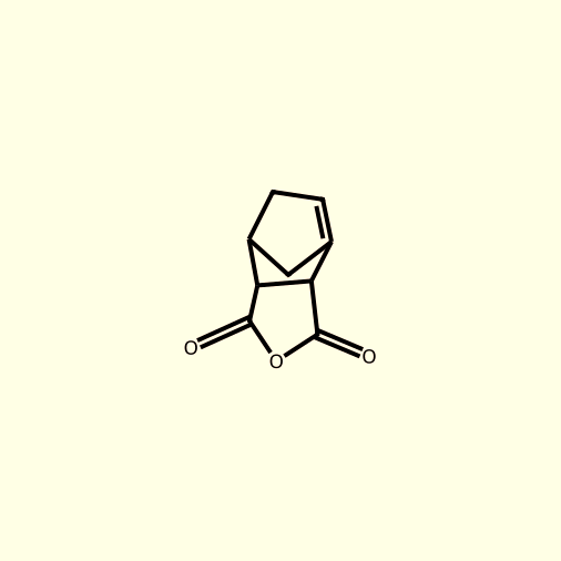 O=C1OC(=O)C2C3CC=C(C3)C12